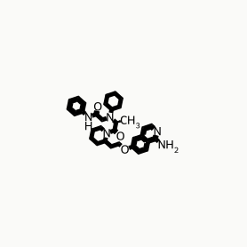 C[C@@H](C(=O)N1CCCCC1CCOc1ccc2c(N)nccc2c1)N(CC(=O)Nc1ccccc1)C1CCCCC1